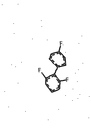 Fc1ccc(-c2c(F)cccc2F)cc1